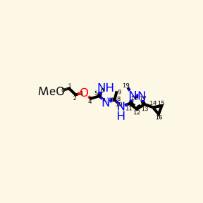 COCCOCC(=N)/N=C(\C)Nc1cc(C2CC2)nn1C